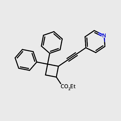 CCOC(=O)C1CC(c2ccccc2)(c2ccccc2)C1C#Cc1ccncc1